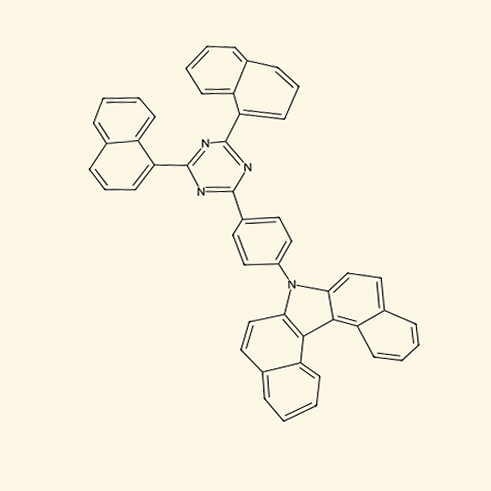 c1ccc2c(-c3nc(-c4ccc(-n5c6ccc7ccccc7c6c6c7ccccc7ccc65)cc4)nc(-c4cccc5ccccc45)n3)cccc2c1